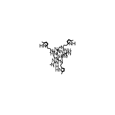 CNC1=NC(CN(CCc2ccc(C)[nH]2)C2=NC(CCN(CCc3ccc(C)[nH]3)C3=NC(C)N=C(N(C)C)N3)N=C(N(C)C)N2)N=C(N(C)CCc2ccc(C)[nH]2)N1